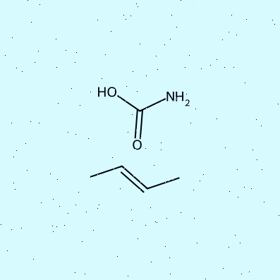 CC=CC.NC(=O)O